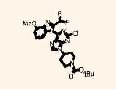 COc1cccc2c1nc(C(F)F)n2-c1nc(Cl)nc2c1ncn2C1CCN(C(=O)OC(C)(C)C)CC1